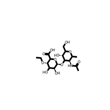 CCO[C@@H]1C(C(=O)O)O[C@@H](OC2[C@H](O)C(CO)OC(C)[C@H]2NC(C)=O)[C@@H](O)C1O